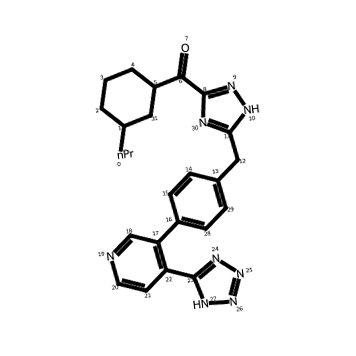 CCCC1CCCC(C(=O)c2n[nH]c(Cc3ccc(-c4cnccc4-c4nnn[nH]4)cc3)n2)C1